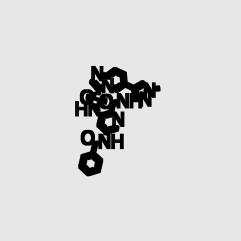 Cn1cc(-c2ccc3ncc(S(=O)(=O)Nc4cc(NC(=O)c5ccccc5)cnc4C=N)n3c2)cn1